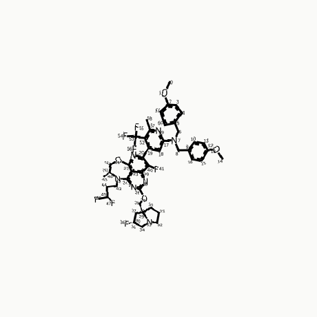 COc1ccc(CN(Cc2ccc(OC)cc2)c2cc(-c3nc4c5c(nc(OC[C@@]67CCCN6C[C@H](F)C7)nc5c3F)N(CCC(F)F)[C@@H](C)CO4)c(C(F)(F)F)c(C)n2)cc1